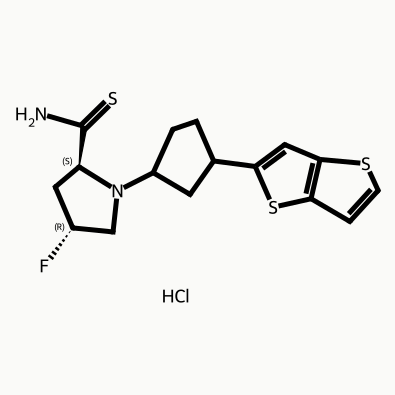 Cl.NC(=S)[C@@H]1C[C@@H](F)CN1C1CCC(c2cc3sccc3s2)C1